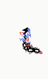 Cn1nccc1C(=O)NCC(=O)NCC1(C)CCC2(C)CCC3(C)C4(C)CCC5CC(=O)C=CC5(C)C4=CC(=O)C3(O)C2C1C#N